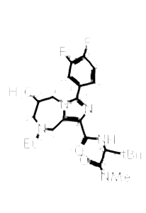 CCN1Cc2c(C(=O)NC(C(=O)NC)C(C)(C)C)nc(-c3ccc(F)c(F)c3)n2CC(C)C1